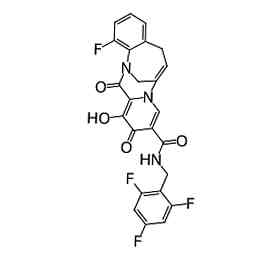 O=C(NCc1c(F)cc(F)cc1F)c1cn2c(c(O)c1=O)C(=O)N1CC2=CCc2cccc(F)c21